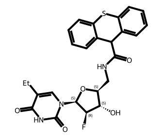 CCc1cn([C@H]2O[C@@H](CNC(=O)C3c4ccccc4Sc4ccccc43)[C@H](O)[C@H]2F)c(=O)[nH]c1=O